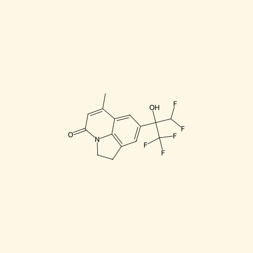 Cc1cc(=O)n2c3c(cc(C(O)(C(F)F)C(F)(F)F)cc13)CC2